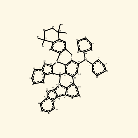 Cc1cc2c(cc1N1c3cc(N(c4ccccc4)c4ccccc4)cc4c3B(c3c1sc1ccccc31)n1c3sc5ccccc5c3c3cccc-4c31)C(C)(C)CCC2(C)C